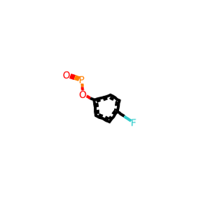 O=POc1ccc(F)cc1